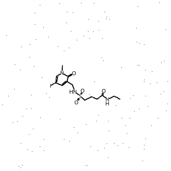 CCNC(=O)CCCS(=O)(=O)NCc1cc(I)cn(C)c1=O